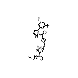 NC(=O)c1cn(CC23CC(C(=O)N4N=CCC4c4cc(F)cc(F)c4)(C2)C3)nn1